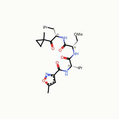 COC[C@H](NC(=O)[C@@H](NC(=O)c1cc(C)on1)C(C)C)C(=O)N[C@@H](CC(C)C)C(=O)C1(C)CC1